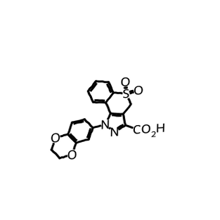 O=C(O)c1nn(-c2ccc3c(c2)OCCO3)c2c1CS(=O)(=O)c1ccccc1-2